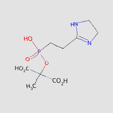 CC(OP(=O)(O)CCC1=NCCN1)(C(=O)O)C(=O)O